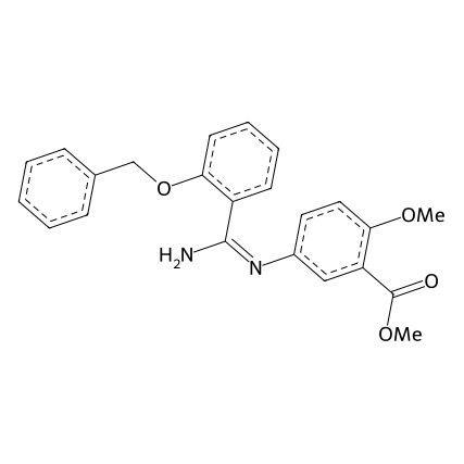 COC(=O)c1cc(/N=C(/N)c2ccccc2OCc2ccccc2)ccc1OC